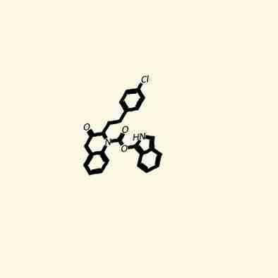 O=C1Cc2ccccc2N(C(=O)Oc2[nH]cc3ccccc23)C1CCc1ccc(Cl)cc1